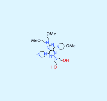 COCCN(CCOC)c1nc(N2CCC(OC)CC2)c2nc(N(CCO)CCO)nc(N3CCN(C)CC3)c2n1